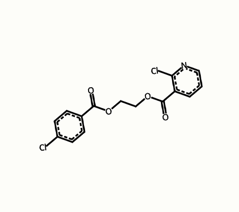 O=C(OCCOC(=O)c1cccnc1Cl)c1ccc(Cl)cc1